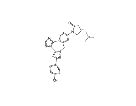 CN(C)C[C@H]1CC(=O)N(c2ccc3c(c2)Cn2cc(-c4ccc(C#N)cc4)cc2-c2ncnn2-3)C1